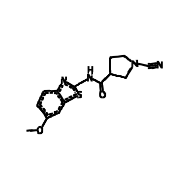 COc1ccc2nc(NC(=O)C3CCN(C#N)C3)sc2c1